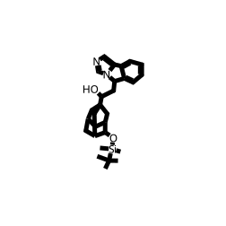 CC(C)(C)[Si](C)(C)OC1C2CC3CC1CC(C(O)CC1c4ccccc4-c4cncn41)(C3)C2